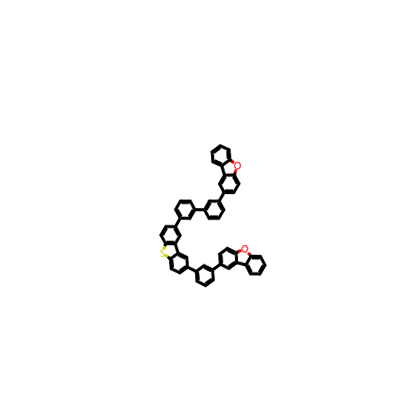 c1cc(-c2cccc(-c3ccc4sc5ccc(-c6cccc(-c7ccc8oc9ccccc9c8c7)c6)cc5c4c3)c2)cc(-c2ccc3oc4ccccc4c3c2)c1